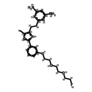 Cc1sc(-c2cccc(OCCOCCOCCF)c2)nc1CCc1nc(N)cc(N)n1